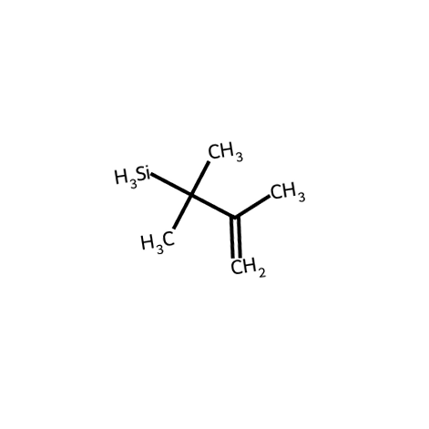 C=C(C)C(C)(C)[SiH3]